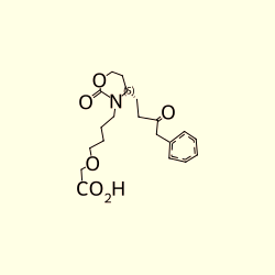 O=C(O)COCCCCN1C(=O)OCC[C@@H]1CCC(=O)Cc1ccccc1